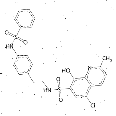 Cc1ccc2c(Cl)cc(S(=O)(=O)NCCc3ccc(NS(=O)(=O)c4ccccc4)cc3)c(O)c2n1